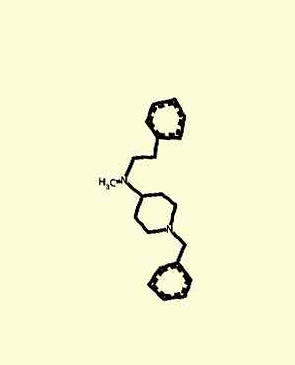 CN(CCc1ccccc1)C1CCN(Cc2ccccc2)CC1